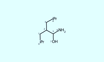 CC(C)CC(CC(C)C)C(N)O